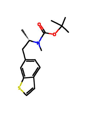 C[C@@H](Cc1ccc2ccsc2c1)N(C)C(=O)OC(C)(C)C